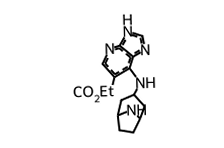 CCOC(=O)c1cnc2[nH]cnc2c1NC1CC2CCC(C1)N2